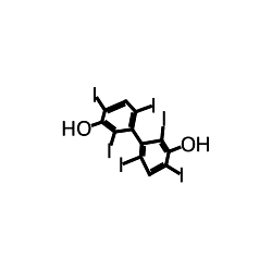 Oc1c(I)cc(I)c(-c2c(I)cc(I)c(O)c2I)c1I